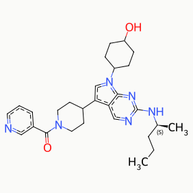 CCC[C@H](C)Nc1ncc2c(C3CCN(C(=O)c4cccnc4)CC3)cn(C3CCC(O)CC3)c2n1